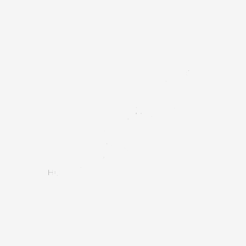 OCCCCc1ccc(OCc2ccc(Cl)cc2)cc1